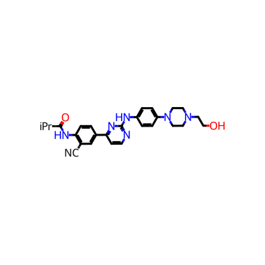 CC(C)C(=O)Nc1ccc(-c2ccnc(Nc3ccc(N4CCN(CCO)CC4)cc3)n2)cc1C#N